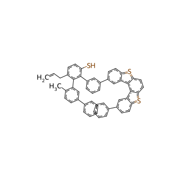 C=CCc1ccc(S)c(-c2cccc(-c3ccc4sc5ccc6sc7ccc(-c8ccccc8)cc7c6c5c4c3)c2)c1-c1cc(-c2ccccc2)ccc1C